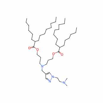 CCCCCCCCC(CCCCCC)C(=O)OCCCN(CCCOC(=O)C(CCCCCC)CCCCCCCC)Cc1cnn(CCN(C)C)c1